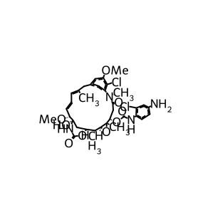 COc1cc2cc(c1Cl)N(C)C(=O)C[C@H](OC(=O)Nc1ccc(N)cc1Cl)[C@]1(C)O[C@H]1[C@H](C)[C@@H]1C[C@@](O)(NC(=O)O1)[C@H](OC)/C=C/C=C(\C)C2